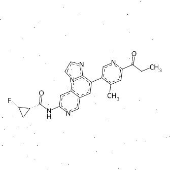 CCC(=O)c1cc(C)c(-c2cc3cnc(NC(=O)[C@@H]4C[C@@H]4F)cc3n3ccnc23)cn1